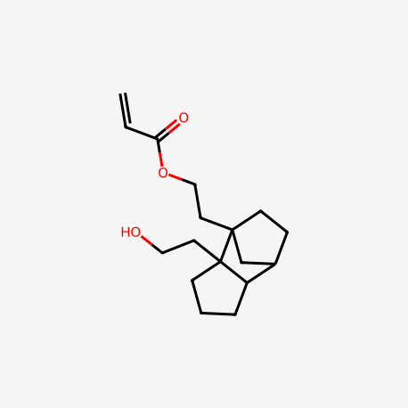 C=CC(=O)OCCC12CCC(C1)C1CCCC12CCO